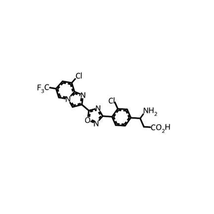 NC(CC(=O)O)c1ccc(-c2noc(-c3cn4cc(C(F)(F)F)cc(Cl)c4n3)n2)c(Cl)c1